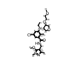 CCN(c1cc(Cl)cc(C(=O)NCc2c(C)nn(C)c2OC)c1C)[C@H]1COC[C@@H]1OCCOC